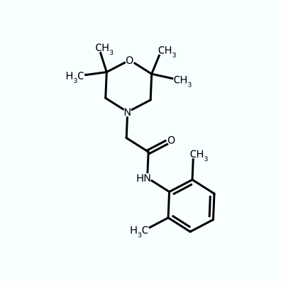 Cc1cccc(C)c1NC(=O)CN1CC(C)(C)OC(C)(C)C1